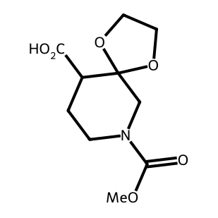 COC(=O)N1CCC(C(=O)O)C2(C1)OCCO2